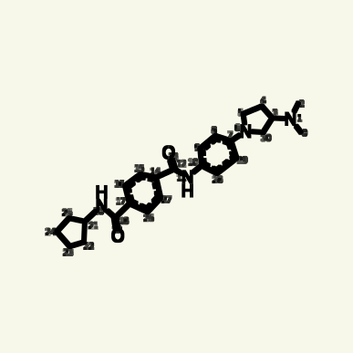 CN(C)C1CCN(c2ccc(NC(=O)c3ccc(C(=O)NC4CCCC4)cc3)cc2)C1